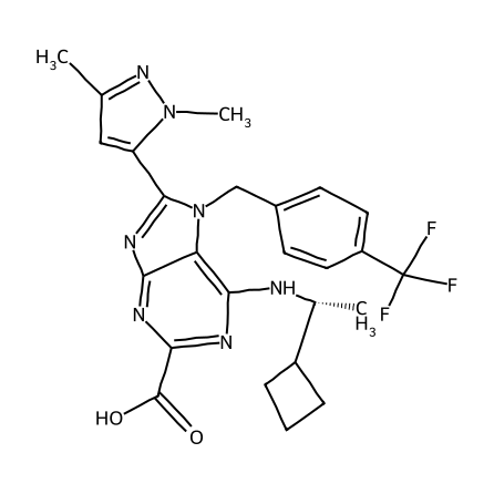 Cc1cc(-c2nc3nc(C(=O)O)nc(N[C@H](C)C4CCC4)c3n2Cc2ccc(C(F)(F)F)cc2)n(C)n1